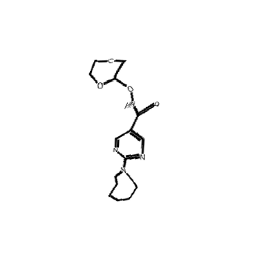 O=C(NOC1CCCCO1)c1cnc(N2CCCCC2)nc1